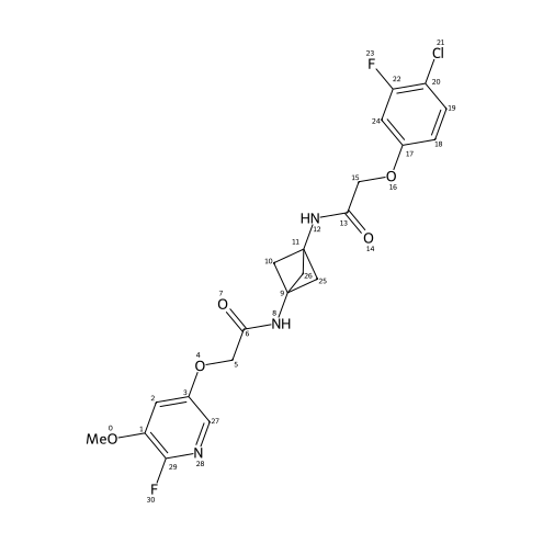 COc1cc(OCC(=O)NC23CC(NC(=O)COc4ccc(Cl)c(F)c4)(C2)C3)cnc1F